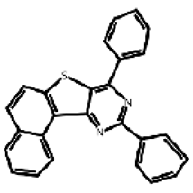 c1ccc(-c2nc(-c3ccccc3)c3sc4ccc5ccccc5c4c3n2)cc1